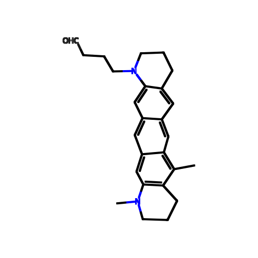 Cc1c2c(cc3cc4cc5c(cc4cc13)CCCN5CCCC=O)N(C)CCC2